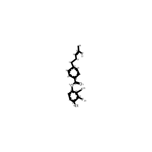 CCc1ccc(OC(=O)c2ccc(CCC=C(C)F)cc2)c(F)c1F